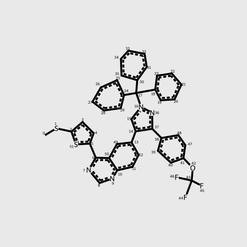 CSc1ccc(-c2ncnc3ccc(-c4cn(C(c5ccccc5)(c5ccccc5)c5ccccc5)nc4-c4ccc(OC(F)(F)F)cc4)cc23)s1